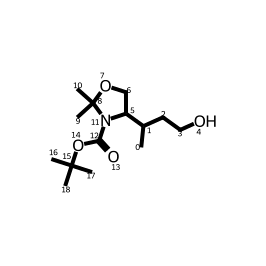 CC(CCO)C1COC(C)(C)N1C(=O)OC(C)(C)C